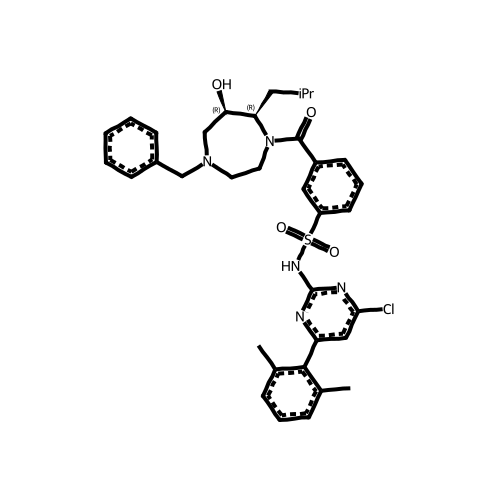 Cc1cccc(C)c1-c1cc(Cl)nc(NS(=O)(=O)c2cccc(C(=O)N3CCN(Cc4ccccc4)C[C@@H](O)[C@H]3CC(C)C)c2)n1